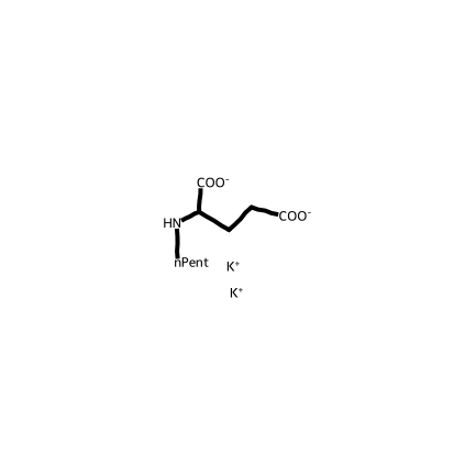 CCCCCNC(CCC(=O)[O-])C(=O)[O-].[K+].[K+]